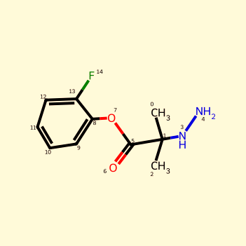 CC(C)(NN)C(=O)Oc1ccccc1F